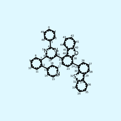 c1ccc(-c2nc(-c3ccccc3-c3ccncc3)cc(-c3ccc(-c4cccc5c4sc4ccccc45)c4oc5ccccc5c34)n2)cc1